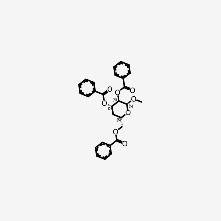 CO[C@H]1O[C@H](COC(=O)c2ccccc2)C[C@H](OC(=O)c2ccccc2)[C@H]1OC(=O)c1ccccc1